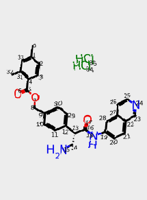 Cc1ccc(C(=O)OCc2ccc([C@@H](CN)C(=O)Nc3ccc4cnccc4c3)cc2)c(C)c1.Cl.Cl